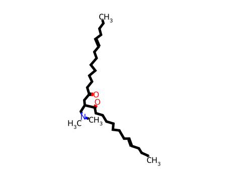 CCCCC=CCCCCCCCC(=O)CC(CN(C)C)C(=O)CCCCCCCC=CCCCC